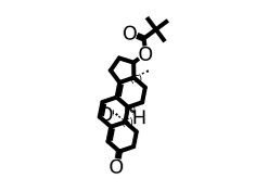 CC(C)(C)C(=O)OC1CCC2=C3C=CC4=CC(=O)CC[C@]4(C=O)[C@@H]3CC[C@@]21C